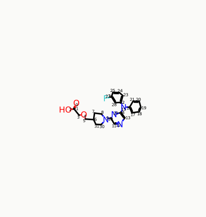 O=C(O)COCC1CCN(c2cncc(N(c3ccccc3)c3cccc(F)c3)n2)CC1